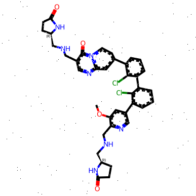 COc1cc(-c2cccc(-c3cccc(-c4ccn5c(=O)c(CNC[C@H]6CCC(=O)N6)cnc5c4)c3Cl)c2Cl)cnc1CNC[C@H]1CCC(=O)N1